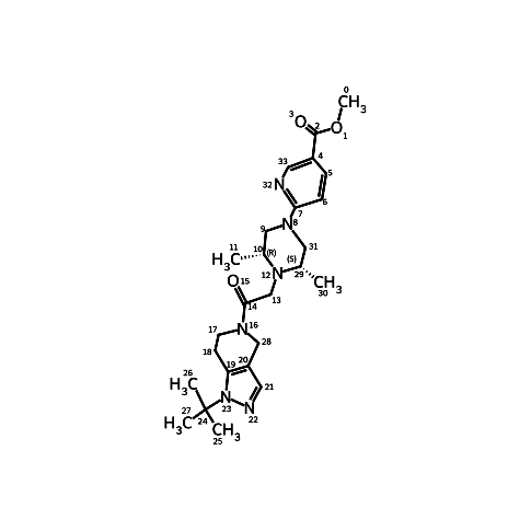 COC(=O)c1ccc(N2C[C@@H](C)N(CC(=O)N3CCc4c(cnn4C(C)(C)C)C3)[C@@H](C)C2)nc1